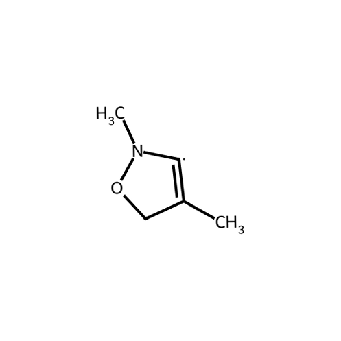 CC1=[C]N(C)OC1